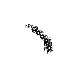 CCCC1COC(c2ccc(-c3ccc(-c4cc(F)c(C(F)(F)Oc5cc(F)c(F)c(F)c5)c(F)c4)c(F)c3)c(F)c2)OC1